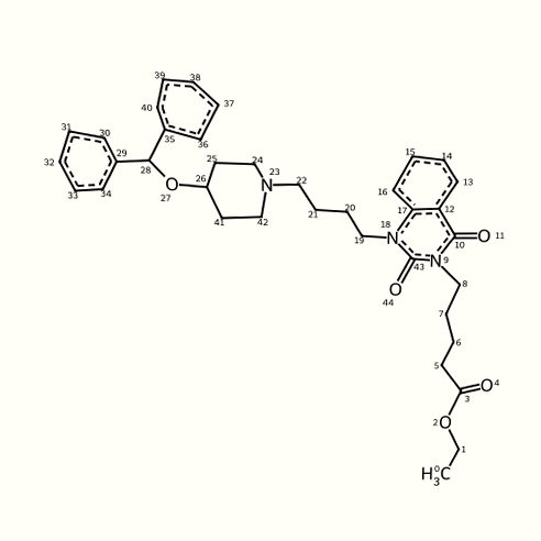 CCOC(=O)CCCCn1c(=O)c2ccccc2n(CCCCN2CCC(OC(c3ccccc3)c3ccccc3)CC2)c1=O